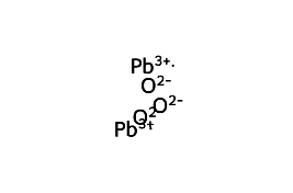 [O-2].[O-2].[O-2].[Pb+3].[Pb+3]